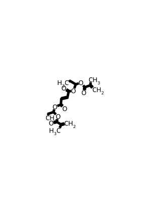 C=C(C)C(=O)OC(CC)OC(=O)C=CC(=O)OC(CC)OC(=O)C(=C)C